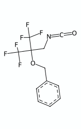 O=C=NCC(OCc1ccccc1)(C(F)(F)F)C(F)(F)F